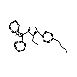 CCCCc1ccc(C2=C(CC)C([SiH](c3ccccc3)c3ccccc3)=CC2)cc1